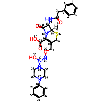 O=C(Cc1ccccc1)N[C@@H]1C(=O)N2C(C(=O)O)=C(CO/N=[N+](\O)N3CCN(c4ccccc4)CC3)CS[C@H]12